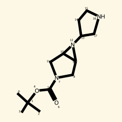 CC(C)(C)OC(=O)N1CC2C(C1)N2C1CCNC1